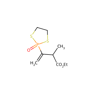 C=C(C(C)C(=O)OCC)P1(=O)SCCS1